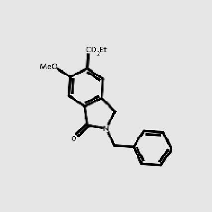 CCOC(=O)c1cc2c(cc1OC)C(=O)N(Cc1ccccc1)C2